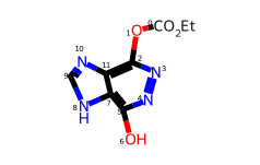 CCOC(=O)Oc1nnc(O)c2[nH]cnc12